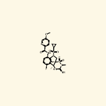 COc1ccc(C(=O)Nc2ccc(F)c([C@]3(C)NC(=N)N(C)S(=O)(=O)[C@]34CCN(S(=O)(=O)C3CC3)C4)c2)nc1